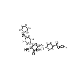 COC(=O)c1ccc(CSc2nc(-c3ccc(Oc4ccccc4)cc3)c(C#N)c(=O)[nH]2)cc1